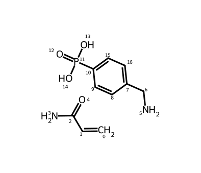 C=CC(N)=O.NCc1ccc(P(=O)(O)O)cc1